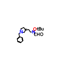 CC(C)(C)ON(C=O)CC[C@@H]1CCN(Cc2ccccc2)C1